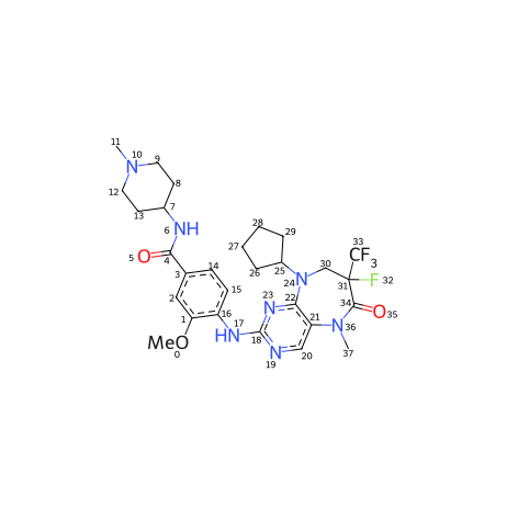 COc1cc(C(=O)NC2CCN(C)CC2)ccc1Nc1ncc2c(n1)N(C1CCCC1)CC(F)(C(F)(F)F)C(=O)N2C